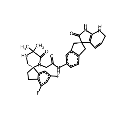 CC1(C)NC[C@]2(CCc3c(F)cc(F)cc32)N(CC(=O)Nc2ccc3c(c2)C[C@@]2(C3)C(=O)NC3=C2C=CCN3)C1=O